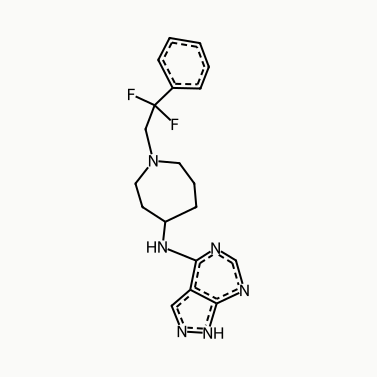 FC(F)(CN1CCCC(Nc2ncnc3[nH]ncc23)CC1)c1ccccc1